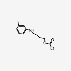 CCC(=O)OCCCCNc1cccc(C)c1